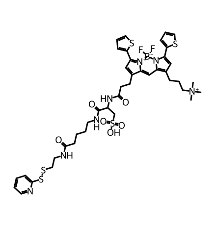 C[N+](C)(C)CCCc1cc(-c2cccs2)n2c1C=C1C(CCC(=O)NC(CS(=O)(=O)O)C(=O)NCCCCC(=O)NCCSSc3ccccn3)=CC(c3cccs3)=[N+]1[B-]2(F)F